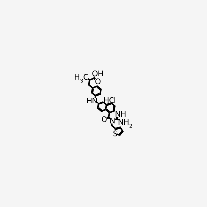 CC(Cc1cccc(Nc2ccc3c(C(=O)N(Cc4cccs4)C(=N)N)cccc3c2)c1)C(=O)O.Cl